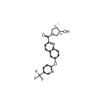 C[C@H]1CN(C(=O)c2ccc3cc(Oc4ccc(C(F)(F)F)cn4)ccc3n2)C[C@@H]1O